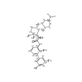 CC(C)N1CC[C@H](O[C@H]2CCCC(F)(F)[C@@H]2NC(=O)Cc2cccc(-c3cc(F)cc(F)c3)c2F)[C@H](F)C1